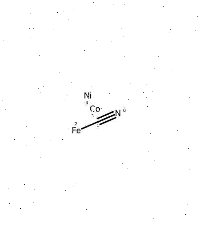 N#[C][Fe].[Co].[Ni]